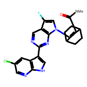 CNC(=O)C1=C(n2cc(F)c3cnc(-c4c[nH]c5ncc(Cl)cc45)nc32)C2CCC1CC2